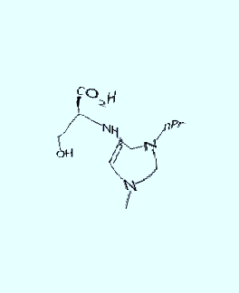 CCCN1C=CN(C)C1.N[C@@H](CO)C(=O)O